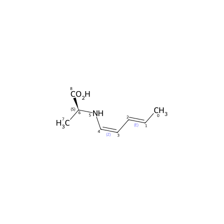 C/C=C/C=C\N[C@@H](C)C(=O)O